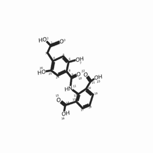 O=C(O)Cc1cc(O)c(C(=O)Nc2c(C(=O)O)cccc2C(=O)O)cc1O